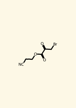 N#CCCOC(=O)C(=O)CBr